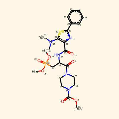 CCCCOC(=O)N1CCN(C(=O)C(CP(=O)(OCC)OCC)NC(=O)c2nc(-c3ccccc3)sc2N(C)CCCC)CC1